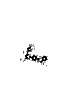 Cc1cc(Nc2cc(C)[nH]n2)nc(-c2ccc(C(=O)N[C@H](C)c3ccccc3)cc2)n1